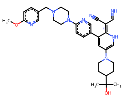 COc1ccc(CN2CCN(c3ccc(C4=CC(N5CCC(C(C)(C)O)CC5)=CN/C4=C(/C#N)C=N)cn3)CC2)cn1